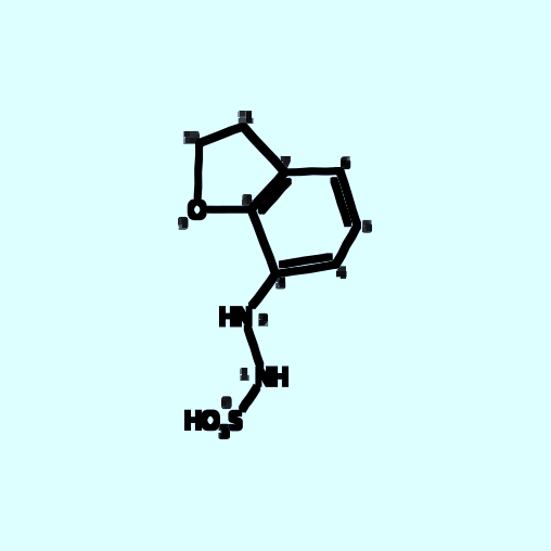 O=S(=O)(O)NNc1cccc2c1OCC2